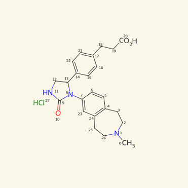 CN1CCc2ccc(N3C(=O)NCC3c3ccc(CCC(=O)O)cc3)cc2CC1.Cl